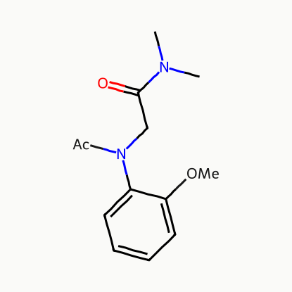 COc1ccccc1N(CC(=O)N(C)C)C(C)=O